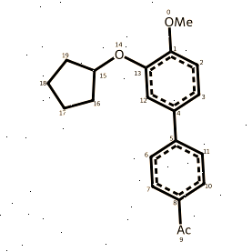 COc1ccc(-c2ccc(C(C)=O)cc2)cc1OC1CCCC1